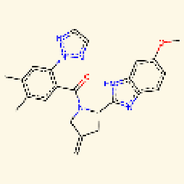 C=C1CC(c2nc3ccc(OC)cc3[nH]2)N(C(=O)c2cc(C)c(C)cc2-n2nccn2)C1